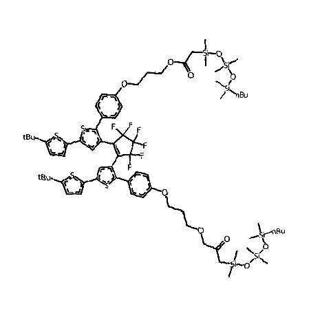 CCCC[Si](C)(C)O[Si](C)(C)O[Si](C)(C)CC(=O)COCCCOc1ccc(-c2sc(-c3ccc(C(C)(C)C)s3)cc2C2=C(c3cc(-c4ccc(C(C)(C)C)s4)sc3-c3ccc(OCCCOC(=O)C[Si](C)(C)O[Si](C)(C)O[Si](C)(C)CCCC)cc3)C(F)(F)C(F)(F)C2(F)F)cc1